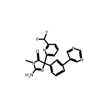 CN1C(=O)C(c2cccc(-c3cncnc3)c2)(c2cccc(C(F)F)n2)N=C1N